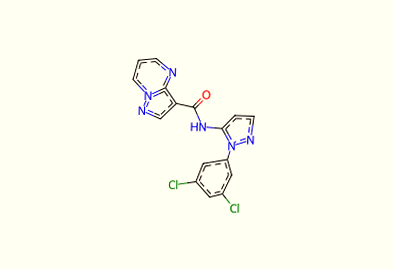 O=C(Nc1ccnn1-c1cc(Cl)cc(Cl)c1)c1cnn2cccnc12